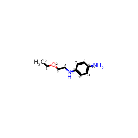 CCOCCNc1ccc(N)cc1